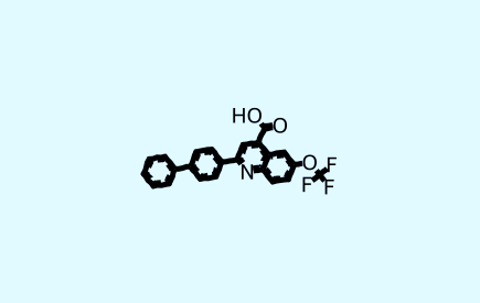 O=C(O)c1cc(-c2ccc(-c3ccccc3)cc2)nc2ccc(OC(F)(F)F)cc12